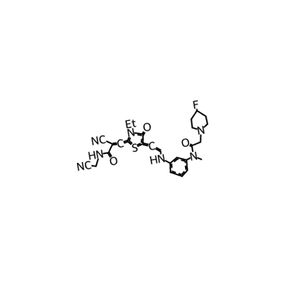 CCn1c(=C=C(C#N)C(=O)NCC#N)sc(=C=CNc2cccc(N(C)C(=O)CN3CCC(F)CC3)c2)c1=O